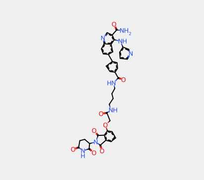 NC(=O)c1cnc2ccc(-c3ccc(C(=O)NCCCCNC(=O)COc4cccc5c4C(=O)N(C4CCC(=O)NC4=O)C5=O)cc3)cc2c1Nc1cccnc1